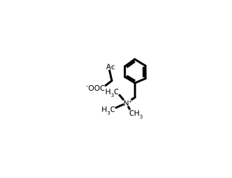 CC(=O)CC(=O)[O-].C[N+](C)(C)Cc1ccccc1